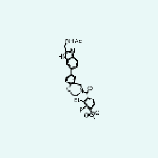 CCc1c(C(=O)N2CCOc3ccc(-c4ccc5nc(CNC(C)=O)[nH]c5c4)cc3C2)ccc(S(C)(=O)=O)c1F